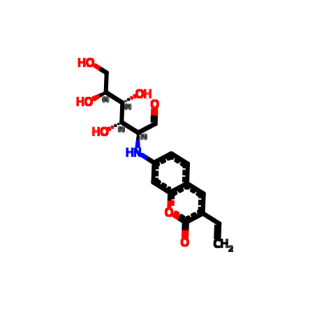 C=Cc1cc2ccc(N[C@H](C=O)[C@H](O)[C@@H](O)[C@@H](O)CO)cc2oc1=O